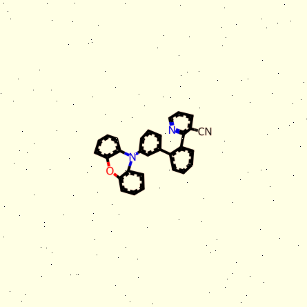 N#Cc1cccnc1-c1ccccc1-c1cccc(N2c3ccccc3Oc3ccccc32)c1